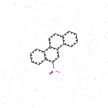 O=[N+]([O-])c1cc2c3ccccc3ccc2c2ccccc12